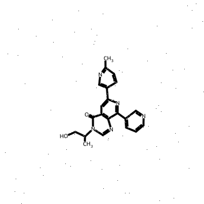 Cc1ccc(-c2cc3c(=O)n(C(C)CO)cnc3c(-c3cccnc3)n2)cn1